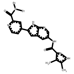 CCN(CC)C(=O)c1cc(-c2cc3cc(NC(=O)c4n[nH]c(C)c4C)cnc3[nH]2)ccn1